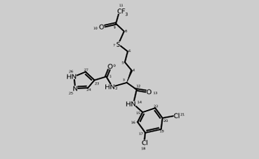 O=C(N[C@@H](CCCSCC(=O)C(F)(F)F)C(=O)Nc1cc(Cl)cc(Cl)c1)c1cn[nH]c1